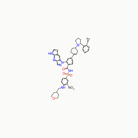 O=C(NS(=O)(=O)c1ccc(NCC2CCOCC2)c([N+](=O)[O-])c1)c1ccc(C2=CCC(N3CCCC3c3ccccc3C3CC3)CC2)cc1-n1ncc2nc3[nH]ccc3cc21